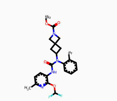 Cc1ccc(NC(=O)N(c2ccccc2C(C)C)C2CC3(C2)CN(C(=O)OC(C)(C)C)C3)c(OC(F)F)n1